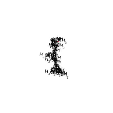 CCN1CC=C(c2c(F)c(NC3NC(C)CC(NCC4Cc5cc(NC6NC(C)CC(NC)N6)c(F)c(C6=CC(C)N(C)CCC6)c5O4)N3)cc3c2OC(CNC2CC(C)NC(Nc4cc5c(c(C6=CCNC(C)CC6)c4F)OCC5)N2)C3)CCC1